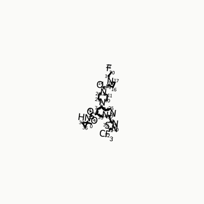 CC1(NS(=O)(=O)c2cc(N3CCN(C(=O)[C@H]4CCN4CCF)CC3)c3cnc(-c4nnc(C(F)(F)F)s4)n3c2)CC1